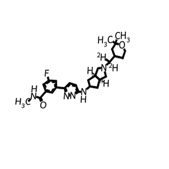 [2H]C([2H])(C1CCOC(C)(C)C1)N1C[C@H]2CC(Nc3ccc(-c4cc(F)cc(C(=O)NC)c4)nn3)C[C@H]2C1